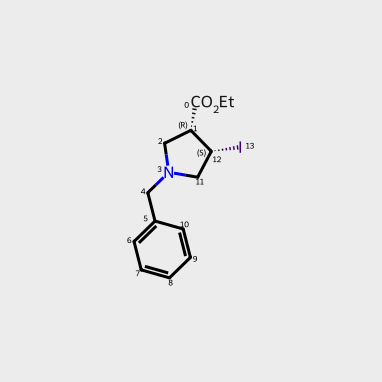 CCOC(=O)[C@H]1CN(Cc2ccccc2)C[C@H]1I